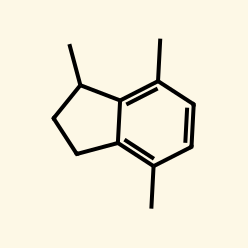 Cc1ccc(C)c2c1CCC2C